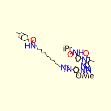 COc1cc(N2CCN(CCCCCCCCCCCCNC(=O)CC3(C)CC4CC(C)CC(C4)C3)CC2)ccc1Nc1ncc2c(C)cc(=O)n(-c3cccc(NC(=O)C(C)C)c3)c2n1